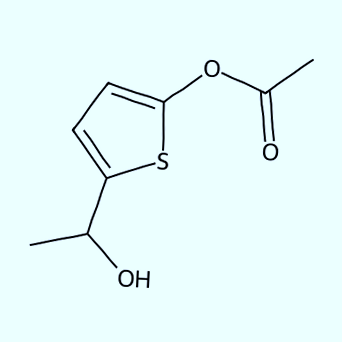 CC(=O)Oc1ccc(C(C)O)s1